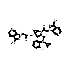 CC(=O)c1nn(CC(=O)OC[C@]23CC2N(C(=O)Cn2nc(C(C)=O)c4ccncc42)[C@H](C(=O)N(c2ccccc2Cl)C2CC2)C3)c2cnccc12